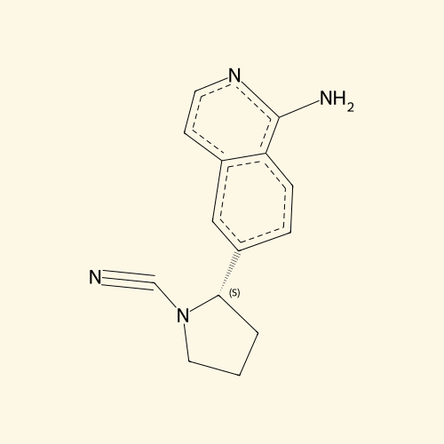 N#CN1CCC[C@H]1c1ccc2c(N)nccc2c1